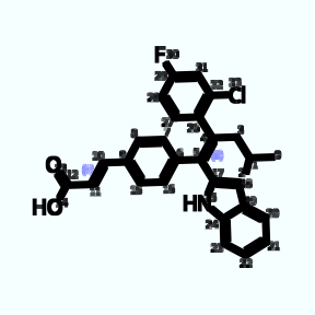 CC(C)C/C(=C(/c1ccc(/C=C/C(=O)O)cc1)c1cc2ccccc2[nH]1)c1ccc(F)cc1Cl